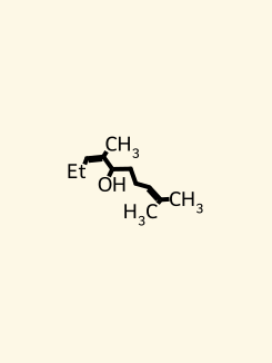 CCC=C(C)C(O)CCC=C(C)C